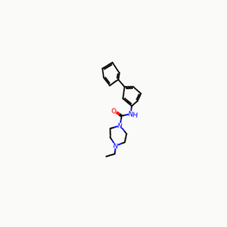 CCN1CCN(C(=O)Nc2cccc(-c3ccccc3)c2)CC1